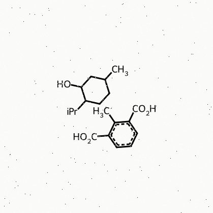 CC1CCC(C(C)C)C(O)C1.Cc1c(C(=O)O)cccc1C(=O)O